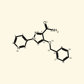 NC(=O)c1nn(-c2cccnc2)cc1OCc1ccccc1